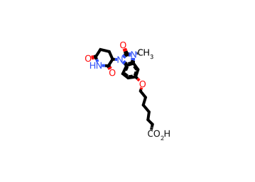 Cn1c(=O)n(C2CCC(=O)NC2=O)c2ccc(OCCCCCCC(=O)O)cc21